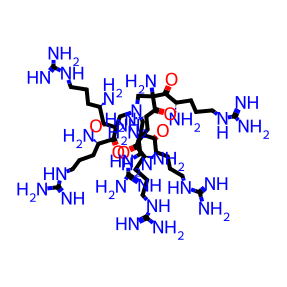 N=C(N)NCCC[C@H](N)C(=O)C(N)(CN(CC(N)(C(=O)[C@@H](N)CCCNC(=N)N)C(=O)[C@@H](N)CCCNC(=N)N)CC(N)(C(=O)[C@@H](N)CCCNC(=N)N)C(=O)[C@@H](N)CCCNC(=N)N)C(=O)[C@@H](N)CCCNC(=N)N